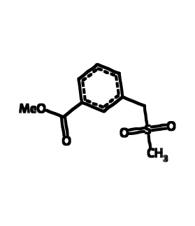 COC(=O)c1cccc(CS(C)(=O)=O)c1